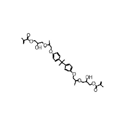 C=C(C)C(=O)OCC(O)COC(C)COc1ccc(C(C)(C)c2ccc(OCC(C)OCC(O)COC(=O)C(=C)C)cc2)cc1